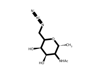 CC(=O)NC1[C@@H](O)[C@@H](O)C(CN=[N+]=[N-])O[C@@H]1C